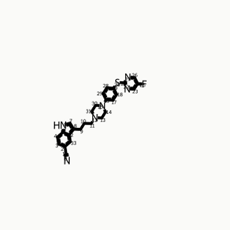 N#Cc1ccc2[nH]cc(CCCN3CCN(c4ccc(Sc5ncc(F)cn5)cc4)CC3)c2c1